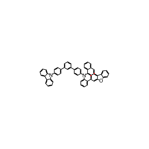 c1cc(-c2ccc(N(c3ccccc3-c3ccc4c(c3)oc3ccccc34)c3cccc4ccccc34)cc2)cc(-c2ccc(-n3c4ccccc4c4ccccc43)cc2)c1